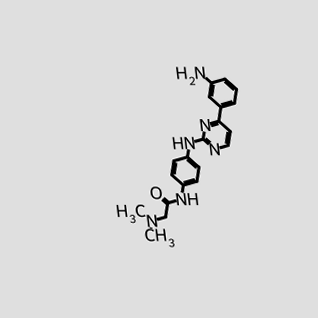 CN(C)CC(=O)Nc1ccc(Nc2nccc(-c3cccc(N)c3)n2)cc1